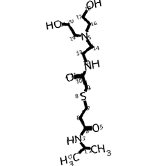 CC(C)NC(=O)CCSCC(=O)NCCN(CCO)CCO